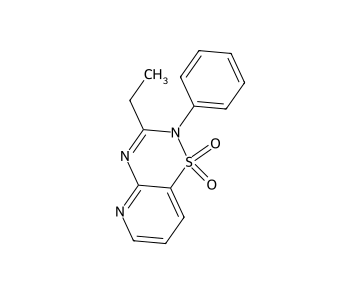 CCC1=Nc2ncccc2S(=O)(=O)N1c1ccccc1